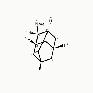 [CH2]N[C@H]1[C@H]2C[C@H]3C[C@H](C2)C[C@H]1C3